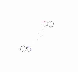 Fc1ccc2c(C3CCN(CCCOn4ccc5ccccc54)CC3)noc2c1